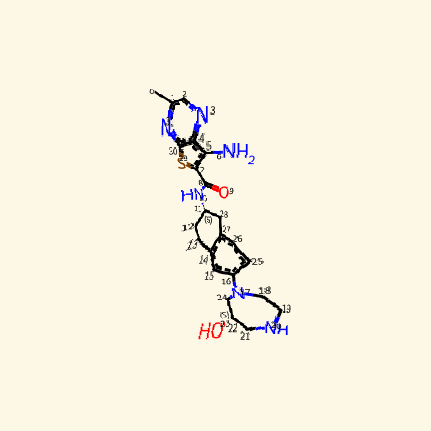 Cc1cnc2c(N)c(C(=O)N[C@H]3CCc4cc(N5CCNC[C@H](O)C5)ccc4C3)sc2n1